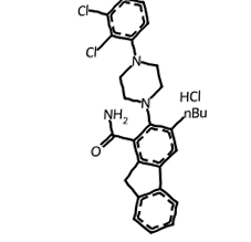 CCCCc1cc2c(c(C(N)=O)c1N1CCN(c3cccc(Cl)c3Cl)CC1)Cc1ccccc1-2.Cl